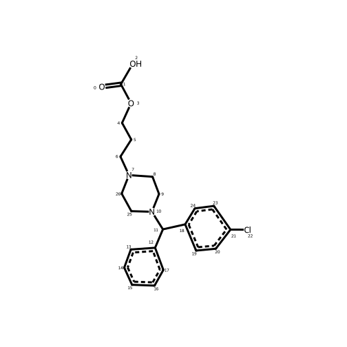 O=C(O)OCCCN1CCN(C(c2ccccc2)c2ccc(Cl)cc2)CC1